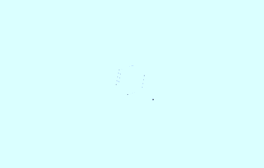 CC(C)(C)C1CC=C(Br)CC1